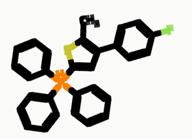 Cc1sc([PH](c2ccccc2)(c2ccccc2)c2ccccc2)cc1-c1ccc(F)cc1